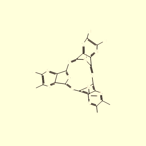 CB(Cl)n1c2nc3nc(nc4c5nc(Cl)c(Cl)nc5c(nc1c1nc(Cl)c(Cl)nc12)n4C)-c1nc(Cl)c(Cl)nc1-3